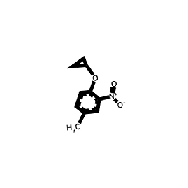 Cc1ccc(OC2CC2)c([N+](=O)[O-])c1